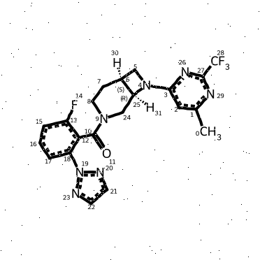 Cc1cc(N2C[C@@H]3CCN(C(=O)c4c(F)cccc4-n4nccn4)C[C@@H]32)nc(C(F)(F)F)n1